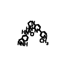 Cc1cc(-c2ccc3c(n2)N(C(=O)Nc2ccc4[nH]ncc4c2)[C@H]2CCN3C2)ccn1